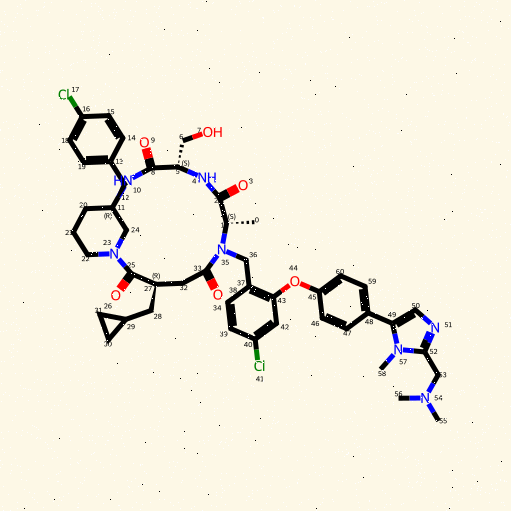 C[C@H]1C(=O)N[C@@H](CO)C(=O)N[C@@]2(Cc3ccc(Cl)cc3)CCCN(C2)C(=O)[C@H](CC2CC2)CC(=O)N1Cc1ccc(Cl)cc1Oc1ccc(-c2cnc(CN(C)C)n2C)cc1